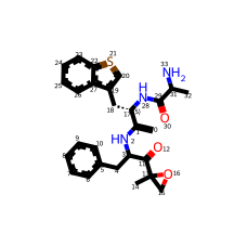 C=C(NC(Cc1ccccc1)C(=O)C1(C)CO1)[C@H](Cc1csc2ccccc12)NC(=O)C(C)N